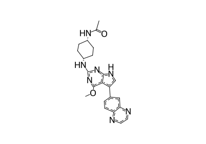 COc1nc(N[C@H]2CC[C@@H](NC(C)=O)CC2)nc2[nH]cc(-c3ccc4nccnc4c3)c12